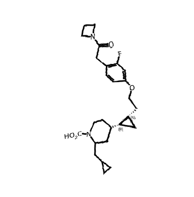 O=C(Cc1ccc(OCC[C@@H]2C[C@@H]2C2CCN(C(=O)O)C(CC3CC3)C2)cc1F)N1CCC1